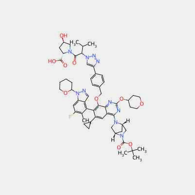 Cc1c(F)cc2c(cnn2C2CCCCO2)c1-c1c(C2CC2)cc2c(N3C[C@@H]4C[C@H]3CN4C(=O)OC(C)(C)C)nc(OC3CCOCC3)nc2c1OCc1ccc(-c2cn(C(C(=O)N3C[C@H](O)C[C@H]3C(=O)O)C(C)C)nn2)cc1